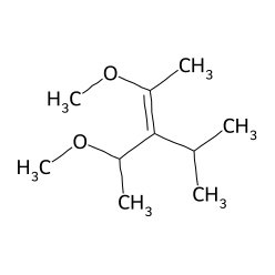 COC(C)=C(C(C)C)C(C)OC